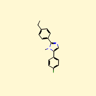 CC(C)Cc1ccc(-c2ncc(-c3ccc(F)cc3)n2C)cc1